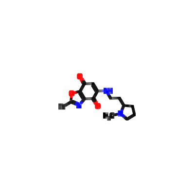 CCc1nc2c(o1)C(=O)C=C(NCCC1CCCN1C)C2=O